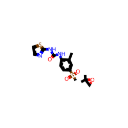 CC1(C)CO1.Cc1cc(S(C)(=O)=O)ccc1NC(=O)Nc1nccs1